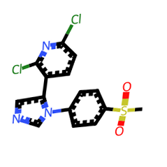 CS(=O)(=O)c1ccc(-n2cncc2-c2ccc(Cl)nc2Cl)cc1